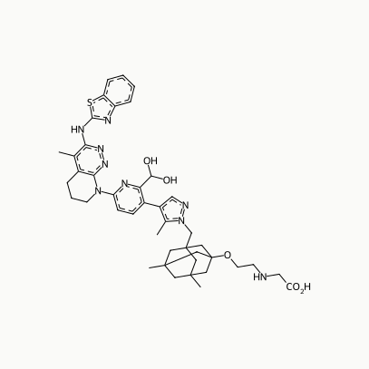 Cc1c(Nc2nc3ccccc3s2)nnc2c1CCCN2c1ccc(-c2cnn(CC34CC5(C)CC(C)(C3)CC(OCCNCC(=O)O)(C5)C4)c2C)c(C(O)O)n1